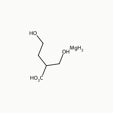 O=C(O)C(CO)CCO.[MgH2]